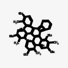 Cc1c(C(C)(C)C)ccc(-c2c(-c3ccc(C(C)(C)C)c(C)c3C(C)(C)C)c(-c3ccc(C(C)(C)C)c(C)c3C(C)(C)C)c3c(c2-c2ccc(C(C)(C)C)c(C)c2C(C)(C)C)=c2ccccc2=3)c1C(C)(C)C